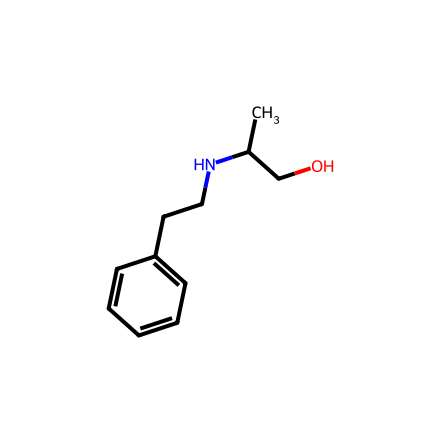 CC(CO)NCCc1ccccc1